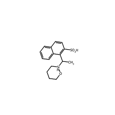 CC(c1c(S(=O)(=O)O)ccc2ccccc12)[SiH]1CCCCO1